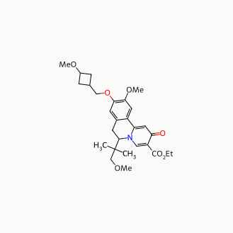 CCOC(=O)c1cn2c(cc1=O)-c1cc(OC)c(OCC3CC(OC)C3)cc1CC2C(C)(C)COC